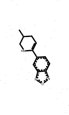 CC1CC=C(c2ccc3nonc3c2)NC1